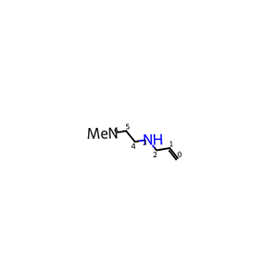 C=CCNCCNC